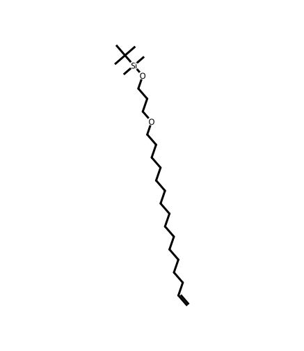 C=CCCCCCCCCCCCCCCOCCCO[Si](C)(C)C(C)(C)C